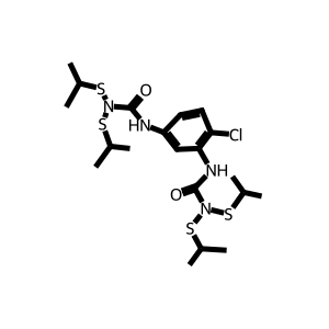 CC(C)SN(SC(C)C)C(=O)Nc1ccc(Cl)c(NC(=O)N(SC(C)C)SC(C)C)c1